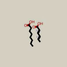 C/C=C/C=C/C(=O)O.CCCCCCCC(=O)O